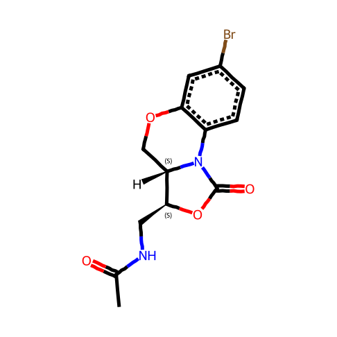 CC(=O)NC[C@@H]1OC(=O)N2c3ccc(Br)cc3OC[C@@H]12